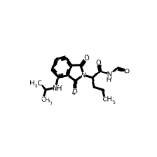 CCCC(C(=O)NC=O)N1C(=O)c2cccc(NC(C)C)c2C1=O